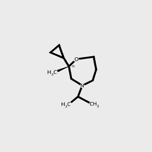 CC(C)N1CCCO[C@@](C)(C2CC2)C1